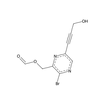 O=COCc1nc(C#CCO)cnc1Br